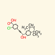 CC1(C)CCC(C)(C)c2cc(C(O)C#Cc3ccc(C(=O)O)c(Cl)c3)ccc21